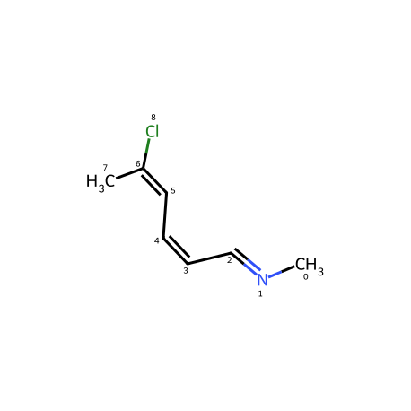 C/N=C/C=C\C=C(/C)Cl